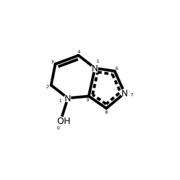 ON1CC=Cn2cncc21